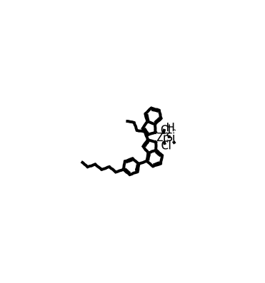 CCCCCCc1ccc(-c2cccc3c2C=C(CCCC)[CH]3[Zr]([Cl])([Cl])([CH]2C=Cc3ccccc32)[SiH](C)C)cc1